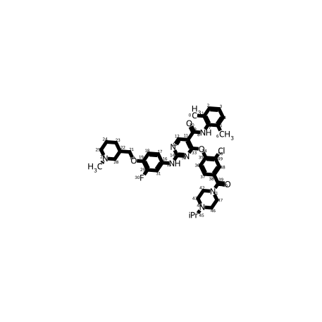 Cc1cccc(C)c1NC(=O)c1cnc(Nc2ccc(OCC3CCCN(C)C3)c(F)c2)nc1Oc1ccc(C(=O)N2CCN(C(C)C)CC2)cc1Cl